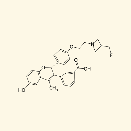 CC1=C(c2cccc(C(=O)O)c2)[C@@H](c2ccc(OCCN3CC(CF)C3)cc2)Oc2ccc(O)cc21